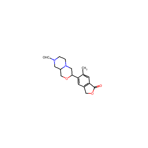 Cc1cc2c(cc1C1CN3CCN(C=O)CC3CO1)COC2=O